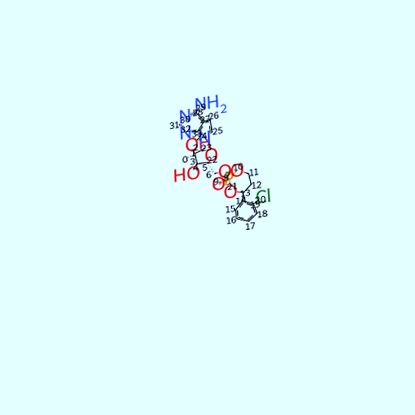 C[C@@]1(O)[C@H](O)[C@@H](COP2(=O)OCC[C@@H](c3ccccc3Cl)O2)O[C@H]1n1ccc2c(N)ncnc21